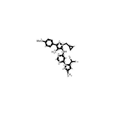 COc1ccc(-c2nn(CC3CC3)c(Nc3cc(-n4nc(C)cc4C(F)F)ncn3)c2C)cc1